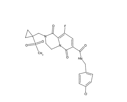 CS(=O)(=O)C1(CN2CCn3c(c(F)cc(C(=O)NCc4ccc(Cl)cc4)c3=O)C2=O)CC1